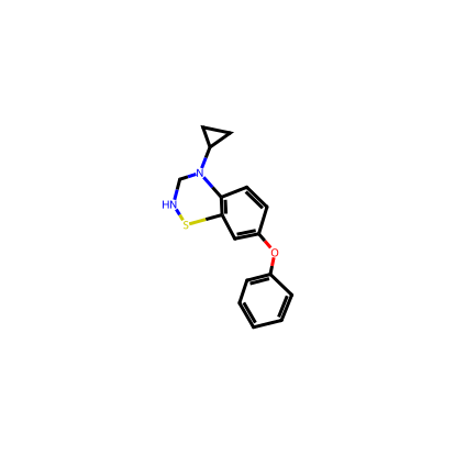 c1ccc(Oc2ccc3c(c2)SNCN3C2CC2)cc1